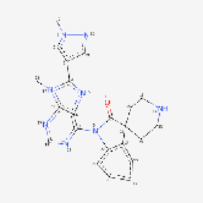 Cn1cc(-c2nc3c(N4C(=O)C5(CCNCC5)c5ccccc54)ncnc3n2C)cn1